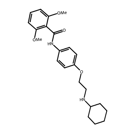 COc1cccc(OC)c1C(=O)Nc1ccc(OCCNC2CCCCC2)cc1